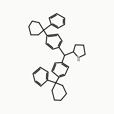 c1ccc(C2(c3ccc(C(c4ccc(C5(c6ccccc6)CCCCC5)cc4)C4CCCN4)cc3)CCCCC2)cc1